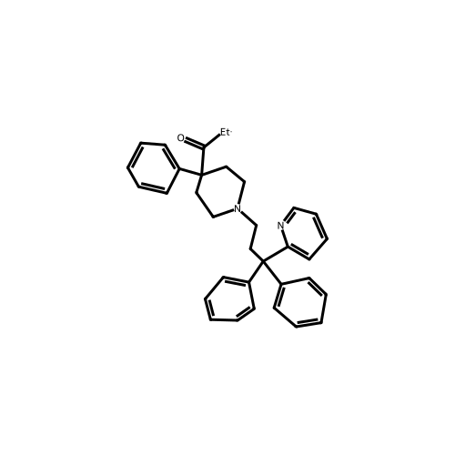 C[CH]C(=O)C1(c2ccccc2)CCN(CCC(c2ccccc2)(c2ccccc2)c2ccccn2)CC1